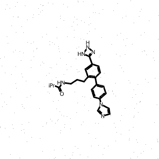 CC(C)C(=O)NCCCc1cc(-c2n[nH][nH]2)ccc1-c1ccc(-n2ccnc2)cc1